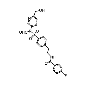 O=CN(c1ccc(CO)nc1)S(=O)(=O)c1ccc(CCNC(=O)c2ccc(F)cc2)cc1